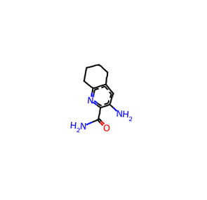 NC(=O)c1nc2c(cc1N)CCCC2